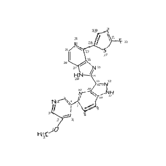 COc1cncc(-c2ccc3[nH]nc(-c4nc5c(-c6ccc(F)s6)nccc5[nH]4)c3n2)c1